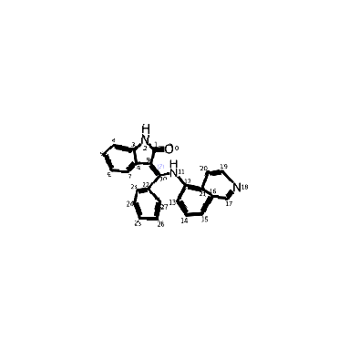 O=C1Nc2ccccc2/C1=C(/Nc1cccc2cnccc12)c1ccccc1